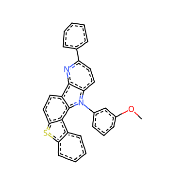 COc1cccc(-n2c3ccc(-c4ccccc4)nc3c3ccc4sc5ccccc5c4c32)c1